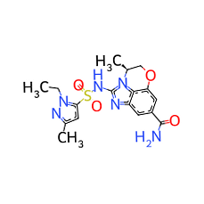 CCn1nc(C)cc1S(=O)(=O)Nc1nc2cc(C(N)=O)cc3c2n1[C@@H](C)CO3